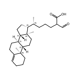 C[C@H](CCCC(C=O)C(=O)O)[C@H]1CC[C@H]2[C@@H]3CCC4=CCCC[C@]4(C)[C@H]3CC[C@]12C